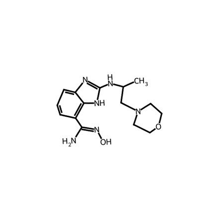 CC(CN1CCOCC1)Nc1nc2cccc(C(N)=NO)c2[nH]1